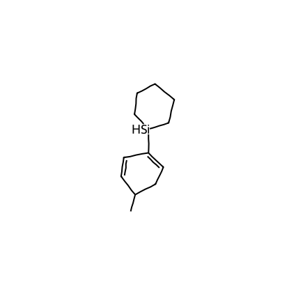 CC1C=CC([SiH]2CCCCC2)=CC1